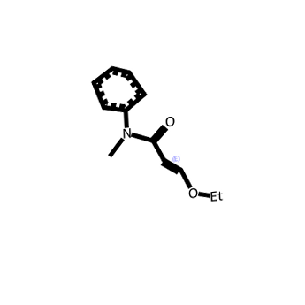 CCO/C=C/C(=O)N(C)c1ccccc1